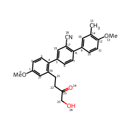 COc1ccc(-c2ccc(-c3ccc(OC)c(C)c3)c(C#N)c2)c(CCC(=O)CO)c1